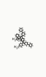 Cc1ccc(N(c2ccc(-c3ccccc3)cc2)c2ccc3c(c2)c2c(n3-c3cccc(-c4ccccc4)c3)-c3ccccc3C2(C)C)cc1